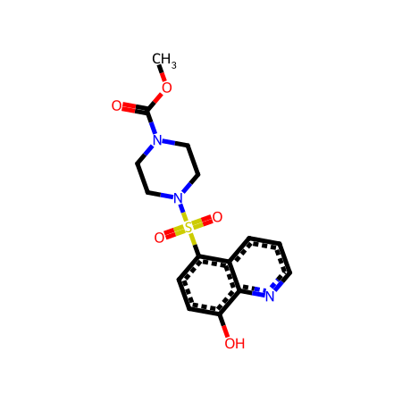 COC(=O)N1CCN(S(=O)(=O)c2ccc(O)c3ncccc23)CC1